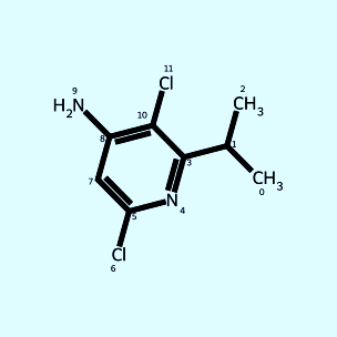 CC(C)c1nc(Cl)cc(N)c1Cl